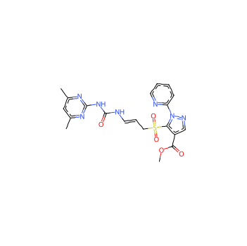 COC(=O)c1cnn(-c2ccccn2)c1S(=O)(=O)CC=CNC(=O)Nc1nc(C)cc(C)n1